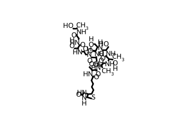 CC(CO)NC(=O)CNC(=O)C(CO)NC(=O)CNC(=O)C(CO)NC(=O)C(CO)NC(=O)C(CO)NC(=O)C(NC(=O)C(C)NC(=O)C(CO)NC(=O)CCCCC1SCC2NC(=O)NC21)C(C)O